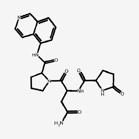 NC(=O)CC(NC(=O)C1CCC(=O)N1)C(=O)N1CCCC1C(=O)Nc1cccc2cnccc12